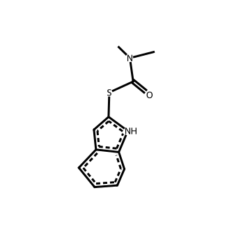 CN(C)C(=O)Sc1cc2ccccc2[nH]1